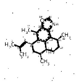 CC(C)=C[C@@H]1C[C@H](C)[C@H]2CC[C@H](C)c3c2c1c(C)c1ocnc31